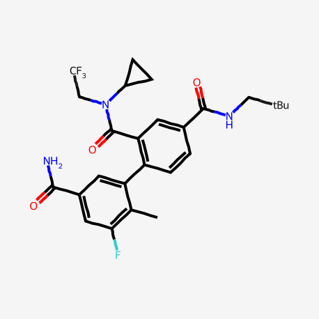 Cc1c(F)cc(C(N)=O)cc1-c1ccc(C(=O)NCC(C)(C)C)cc1C(=O)N(CC(F)(F)F)C1CC1